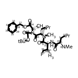 CN[C@@H](CC(C)C)C(=O)N[C@H](C(=O)N(C)[C@@H](CC(C)C)C(=O)N(C(=O)OC(C)(C)C)[C@@H](C)C(=O)OCc1ccccc1)C(C)CF